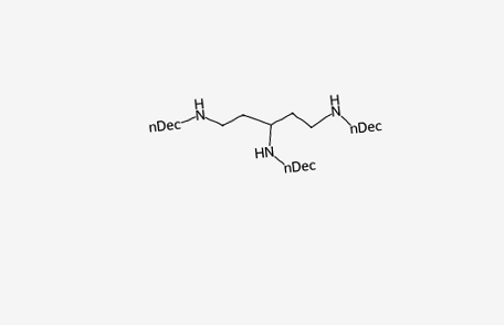 CCCCCCCCCCNCCC(CCNCCCCCCCCCC)NCCCCCCCCCC